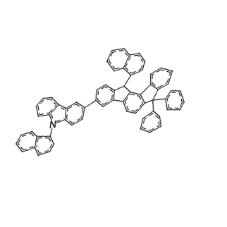 c1ccc(C2(c3ccccc3)c3ccccc3-c3c2ccc2c3C(c3cccc4ccccc34)c3ccc(-c4ccc5c(c4)c4ccccc4n5-c4cccc5ccccc45)cc3-2)cc1